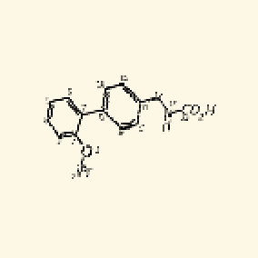 CC(C)Oc1ccccc1-c1ccc(CNC(=O)O)cc1